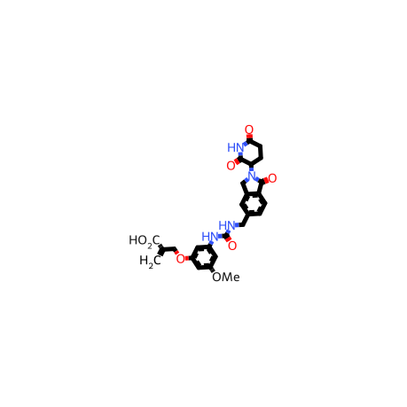 C=C(COc1cc(NC(=O)NCc2ccc3c(c2)CN(C2CCC(=O)NC2=O)C3=O)cc(OC)c1)C(=O)O